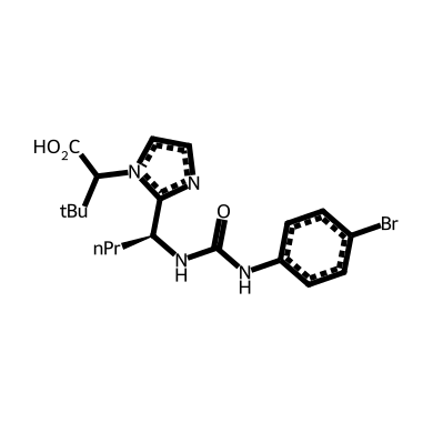 CCC[C@H](NC(=O)Nc1ccc(Br)cc1)c1nccn1C(C(=O)O)C(C)(C)C